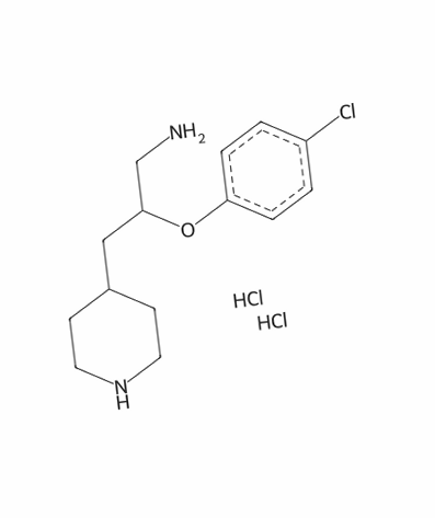 Cl.Cl.NCC(CC1CCNCC1)Oc1ccc(Cl)cc1